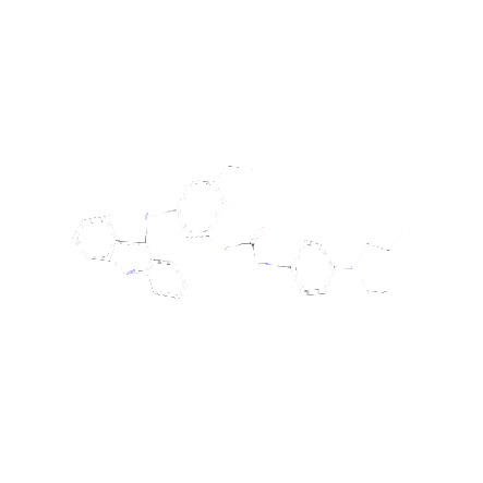 O=C(Nc1ccc(N(CCCl)CCCl)cc1)Nc1cc(CO)cc(Nc2c3ccccc3nc3ccccc23)c1